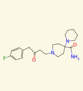 NC(=O)C1(N2CCCCC2)CCN(CCC(=O)Cc2ccc(F)cc2)CC1